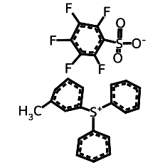 Cc1cccc([S+](c2ccccc2)c2ccccc2)c1.O=S(=O)([O-])c1c(F)c(F)c(F)c(F)c1F